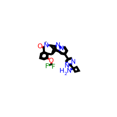 CN1C(=O)c2cccc(OC(F)F)c2C2CC1c1nn3ccc(-c4cnc(C5(N)CCC5)nc4)cc3c12